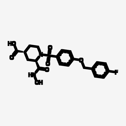 O=C(O)[C@@H]1CCN(S(=O)(=O)c2ccc(OCc3ccc(F)cc3)cc2)[C@@H](C(=O)NO)C1